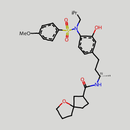 COc1ccc(S(=O)(=O)N(CC(C)C)c2ccc(CC[C@H](C)NC(=O)C3CCC4(CCCO4)C3)cc2O)cc1